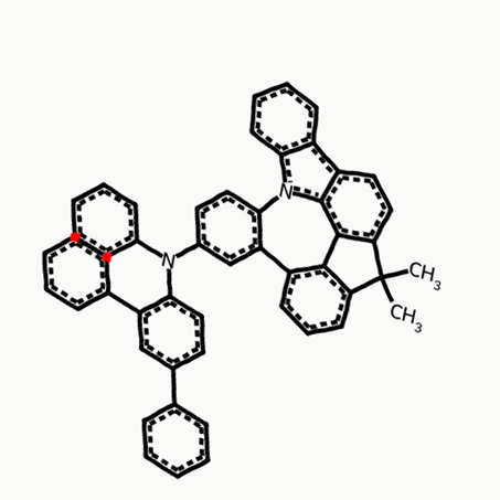 CC1(C)c2cccc3c2-c2c1ccc1c4ccccc4n(c21)-c1ccc(N(c2ccccc2)c2ccc(-c4ccccc4)cc2-c2ccccc2)cc1-3